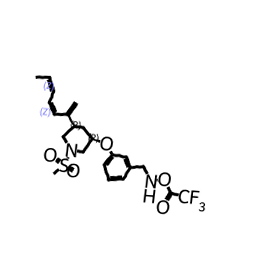 C=C(/C=C\C=C/C)[C@H]1C[C@@H](Oc2cccc(CNOC(=O)C(F)(F)F)c2)CN(S(C)(=O)=O)C1